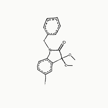 COC1(OC)C(=O)N(Cc2ccccc2)c2ccc(I)cc21